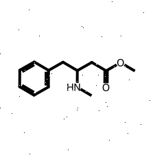 CNC(CC(=O)OC)Cc1ccccc1